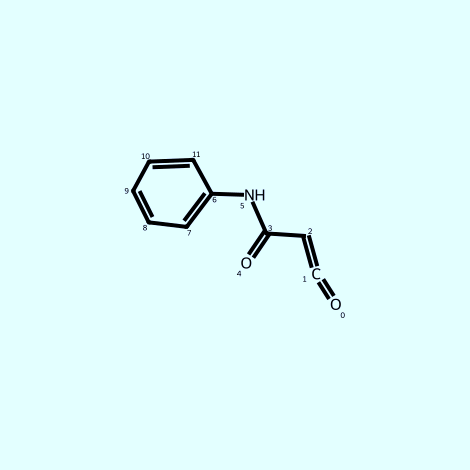 O=C=CC(=O)Nc1ccccc1